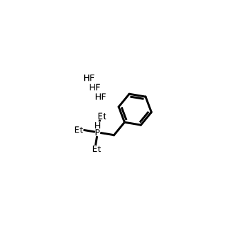 CC[PH](CC)(CC)Cc1ccccc1.F.F.F